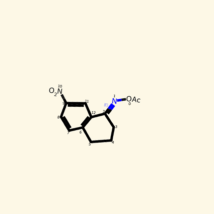 CC(=O)O/N=C1\CCCc2ccc([N+](=O)[O-])cc21